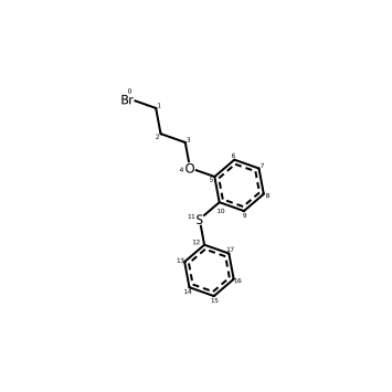 BrCCCOc1ccccc1Sc1ccccc1